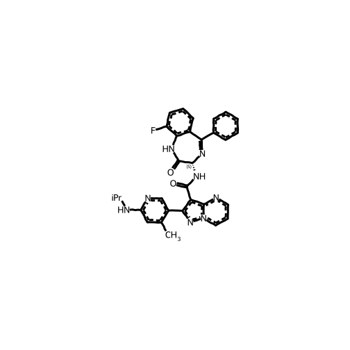 Cc1cc(NC(C)C)ncc1-c1nn2cccnc2c1C(=O)N[C@H]1N=C(c2ccccc2)c2cccc(F)c2NC1=O